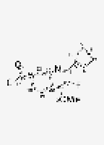 COc1c(F)c(-c2ccccc2)nc2cc(C(=O)Cl)ccc12